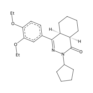 CCOc1ccc(C2=NN(C3CCCC3)C(=O)[C@@H]3CCCC[C@H]23)cc1OCC